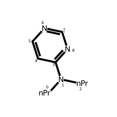 CCCN(CCC)c1ccn[c]n1